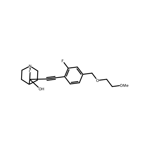 COCCOCc1ccc(C#CC2(O)CN3CCC2CC3)c(F)c1